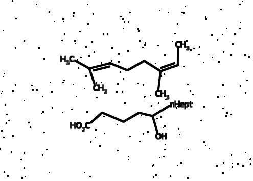 CC=C(C)CCC=C(C)C.CCCCCCCC(O)CCCC(=O)O